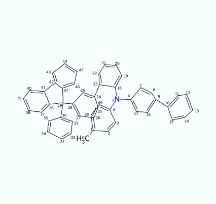 Cc1ccc(N(c2ccc(-c3ccccc3)cc2)c2ccccc2-c2cccc(C3(c4ccccc4)c4ccccc4-c4ccccc43)c2)cc1